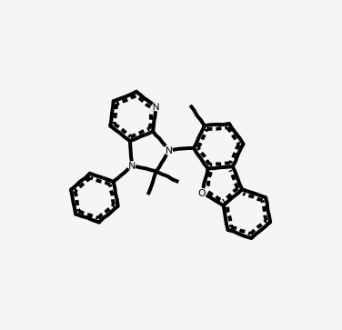 Cc1ccc2c(oc3ccccc32)c1N1c2ncccc2N(c2ccccc2)C1(C)C